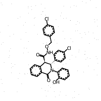 O=C(NOCc1ccc(Cl)cc1)[C@@H]1c2ccccc2C(=O)N(c2ccccc2O)[C@H]1c1ccc(Cl)cc1